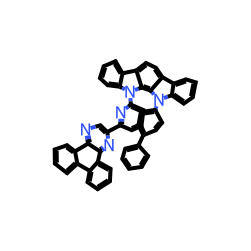 c1ccc(-c2ccc(-n3c4ccccc4c4ccc5c6ccccc6n(-c6cccc(-c7cnc8c9ccccc9c9ccccc9c8n7)n6)c5c43)cc2)cc1